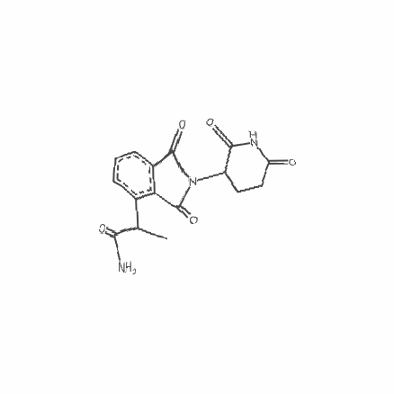 CC(C(N)=O)c1cccc2c1C(=O)N(C1CCC(=O)NC1=O)C2=O